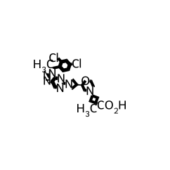 C[C@H](c1ccc(Cl)cc1Cl)n1nnc2cnc(N3CC([C@@H]4CN(C5CC(C)(C(=O)O)C5)CCO4)C3)nc21